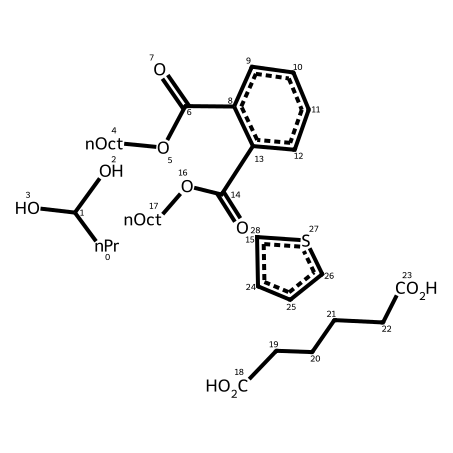 CCCC(O)O.CCCCCCCCOC(=O)c1ccccc1C(=O)OCCCCCCCC.O=C(O)CCCCC(=O)O.c1ccsc1